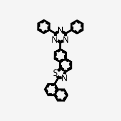 c1ccc(-c2nc(-c3ccccc3)nc(-c3ccc4c(ccc5nc(-c6cccc7ccccc67)sc54)c3)n2)cc1